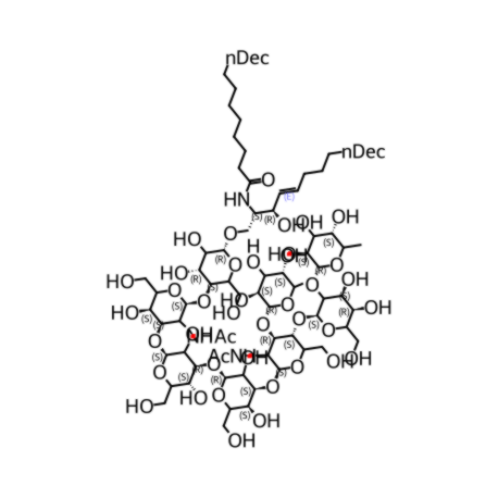 CCCCCCCCCCCCC/C=C/[C@@H](O)[C@H](CO[C@@H]1OC(CO)[C@@H](O[C@@H]2OC(CO)[C@H](O)[C@H](O[C@@H]3OC(CO)[C@@H](O)[C@H](O[C@@H]4OC(CO)[C@H](O)[C@H](O[C@@H]5OC(CO)[C@@H](O[C@@H]6OC(CO)[C@H](O)[C@H](O)C6O[C@H]6OC(C)[C@@H](O)C(O)[C@@H]6O)[C@H](O[C@H]6OC(C)[C@@H](O)C(O)[C@@H]6O)C5NC(C)=O)C4O)C3NC(C)=O)C2O)[C@H](O)C1O)NC(=O)CCCCCCCCCCCCCCCCC